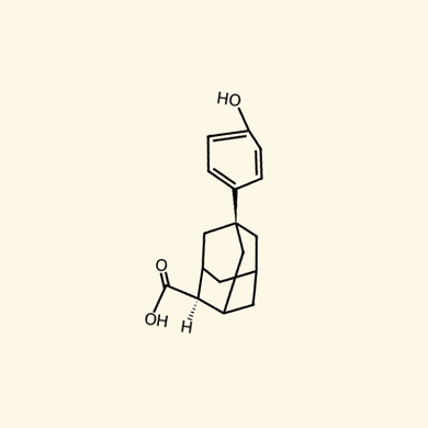 O=C(O)[C@H]1C2CC3CC1C[C@@](c1ccc(O)cc1)(C3)C2